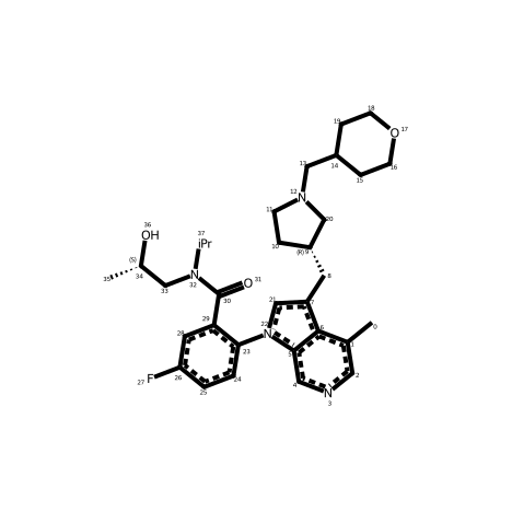 Cc1cncc2c1c(C[C@@H]1CCN(CC3CCOCC3)C1)cn2-c1ccc(F)cc1C(=O)N(C[C@H](C)O)C(C)C